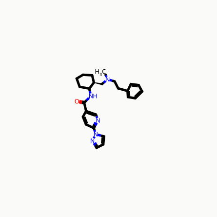 CN(CCc1ccccc1)C[C@@H]1CCCCC1NC(=O)c1ccc(-n2cccn2)nc1